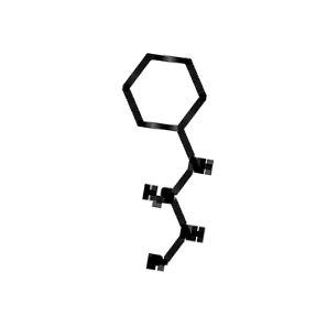 CC(C)N[SiH2]NC1CCCCC1